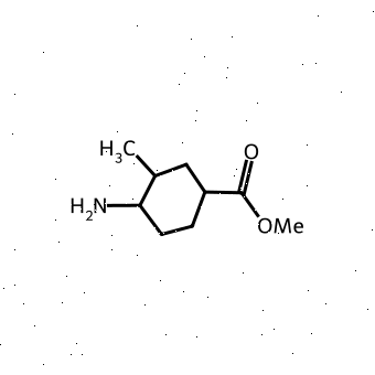 COC(=O)C1CCC(N)C(C)C1